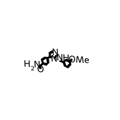 COc1cccc(CNc2nccc(-c3ccc(C(N)=O)cc3)n2)c1